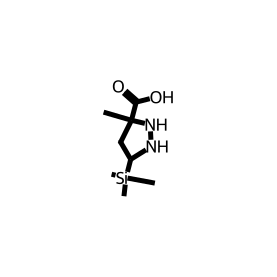 CC1(C(=O)O)CC([Si](C)(C)C)NN1